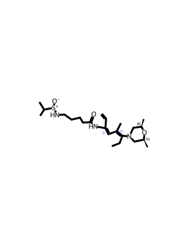 C=C/C(=C\C(C)=C(/CC)N1C[C@@H](C)O[C@@H](C)C1)NC(=O)CCCCN[S+]([O-])C(C)C